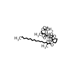 CCCCCCCCCCCCCCC(C)C(=O)NC1(C(CNC(=O)C2OC(C)(C)OCC2(C)C)C(=O)O)CCCCC1